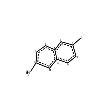 CC(C)c1ccc2cc(I)ccc2c1